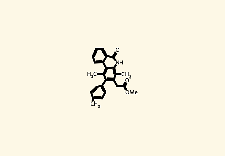 COC(=O)Cc1c(-c2ccc(C)cc2)c(C)c2c([nH]c(=O)c3ccccc32)c1C